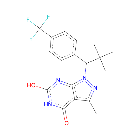 Cc1nn(C(c2ccc(C(F)(F)F)cc2)C(C)(C)C)c2nc(O)[nH]c(=O)c12